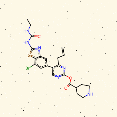 C=CCc1nc(OC(=O)C2CCNCC2)ncc1-c1cc(Br)c2sc(NC(=O)NCC)nc2c1